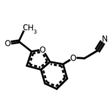 CC(=O)c1cc2cccc(OCC#N)c2o1